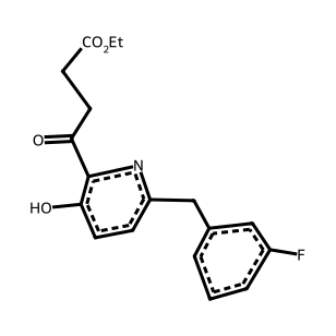 CCOC(=O)CCC(=O)c1nc(Cc2cccc(F)c2)ccc1O